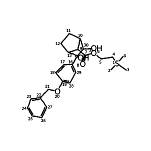 CS(C)(C)CCOC(=O)C1C2CCC1C(O)(c1ccc(OCc3ccccc3)cc1)C2O